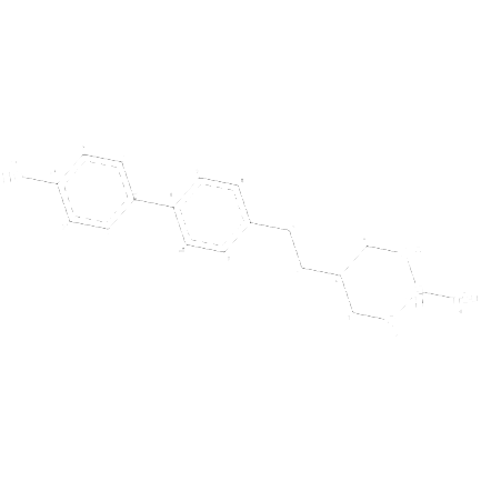 CCCC[SiH]1OCC(CCc2ccc(-c3ccc(O)cc3)cc2)CO1